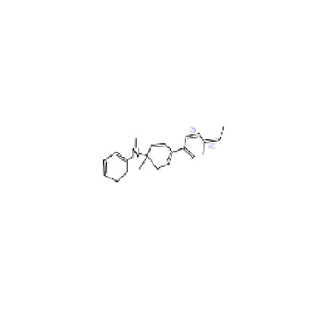 C=C(/C=C\C(C)=C/C)C1=CCC(C)(N(C)C2=CC=CCC2)C=C1